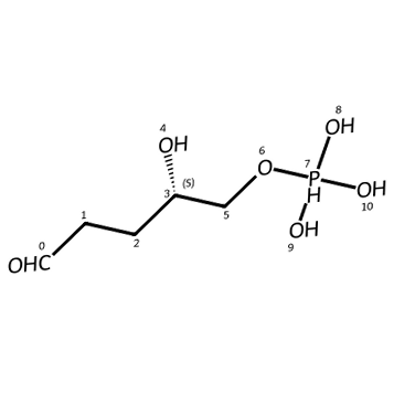 O=CCC[C@H](O)CO[PH](O)(O)O